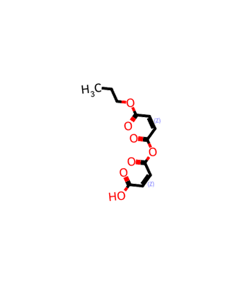 CCCOC(=O)/C=C\C(=O)OC(=O)/C=C\C(=O)O